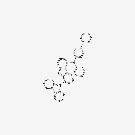 c1ccc(-c2ccc(N(c3ccccc3)c3cccc4sc5c(-n6c7ccccc7c7ccccc76)cccc5c34)cc2)cc1